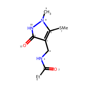 CCC(=O)NCc1c(SC)n(C)[nH]c1=O